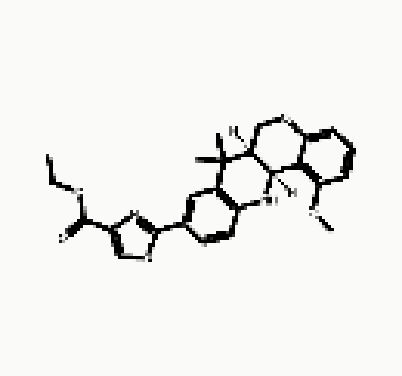 CCOC(=O)c1coc(-c2ccc3c(c2)C(C)(C)[C@H]2COc4cccc(OC)c4[C@H]2N3)n1